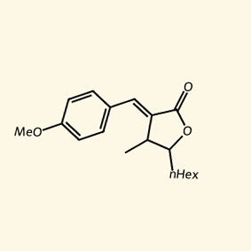 CCCCCCC1OC(=O)C(=Cc2ccc(OC)cc2)C1C